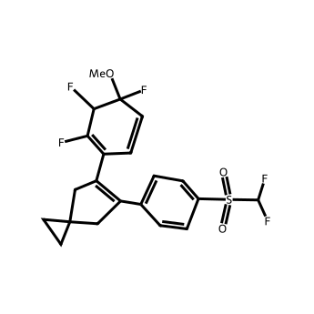 COC1(F)C=CC(C2=C(c3ccc(S(=O)(=O)C(F)F)cc3)CC3(CC3)C2)=C(F)C1F